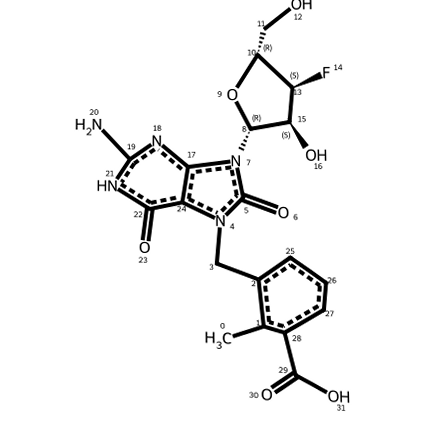 Cc1c(Cn2c(=O)n([C@@H]3O[C@H](CO)[C@@H](F)[C@H]3O)c3nc(N)[nH]c(=O)c32)cccc1C(=O)O